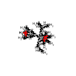 CC(C)(N)CC(O)CNC(C)(C)CC(O)CN(CCN(CCN(CC(O)CC(C)(C)N(CC(O)CC(C)(C)N)CC(O)CC(C)(C)N)CC(O)CC(C)(C)N(CC(O)CC(C)(C)N)CC(O)CC(C)(C)N)CCN(CC(O)CC(C)(C)N(CC(O)CC(C)(C)N)CC(O)CC(C)(C)N)CC(O)CC(C)(C)N(CC(O)CC(C)(C)N)CC(O)CC(C)(C)N)CC(O)CC(C)(C)N(CC(O)CC(C)(C)N)CC(O)CC(C)(C)N